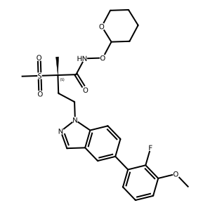 COc1cccc(-c2ccc3c(cnn3CC[C@@](C)(C(=O)NOC3CCCCO3)S(C)(=O)=O)c2)c1F